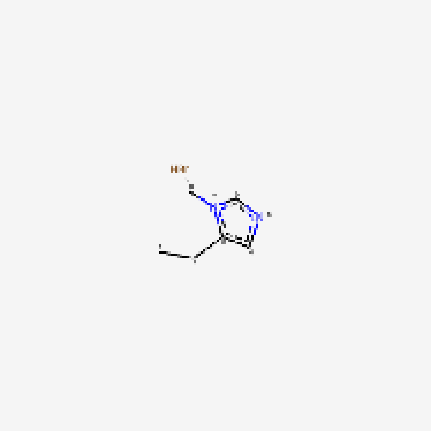 Br.CCc1cncn1C